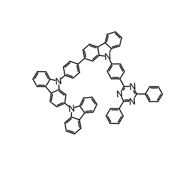 c1ccc(-c2nc(-c3ccccc3)nc(-c3ccc(-n4c5ccccc5c5ccc(-c6ccc(-n7c8ccccc8c8ccc(-n9c%10ccccc%10c%10ccccc%109)cc87)cc6)cc54)cc3)n2)cc1